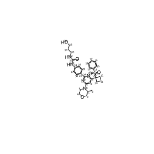 C[C@H]1COCCN1c1cc(C2(S(=O)(=O)c3ccccc3)CCC2)nc(-c2ccc(NC(=O)NCCCO)cc2)n1